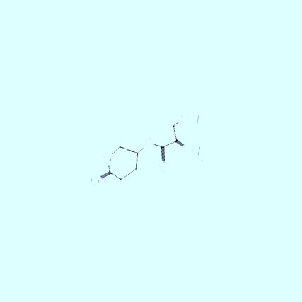 C=C(CO)C(=O)OC1CCC(=O)OC1